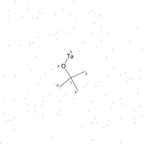 CC(C)(C)[O][Ta]